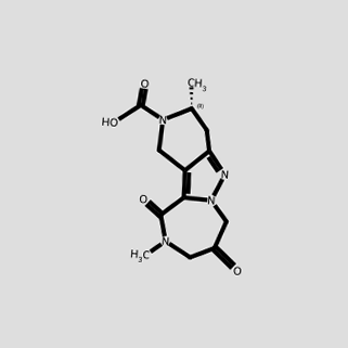 C[C@@H]1Cc2nn3c(c2CN1C(=O)O)C(=O)N(C)CC(=O)C3